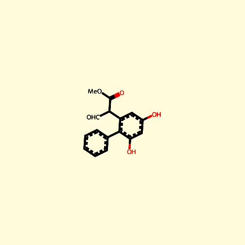 COC(=O)C(C=O)c1cc(O)cc(O)c1-c1ccccc1